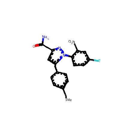 CSc1ccc(-c2cc(C(N)=O)nn2-c2ccc(F)cc2[N+](=O)[O-])cc1